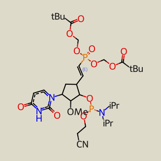 COC1C(OP(OCCC#N)N(C(C)C)C(C)C)C(/C=C/P(=O)(OCOC(=O)C(C)(C)C)OCOC(=O)C(C)(C)C)CC1n1ccc(=O)[nH]c1=O